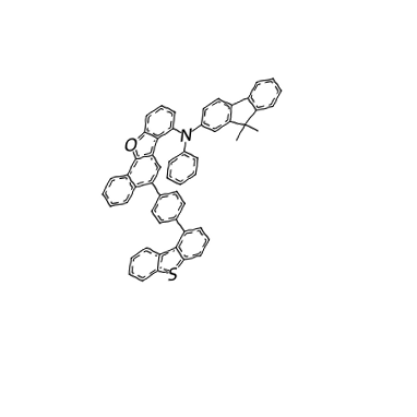 CC1(C)c2ccccc2-c2ccc(N(c3ccccc3)c3cccc4oc5c6ccccc6c(-c6ccc(-c7cccc8sc9ccccc9c78)cc6)cc5c34)cc21